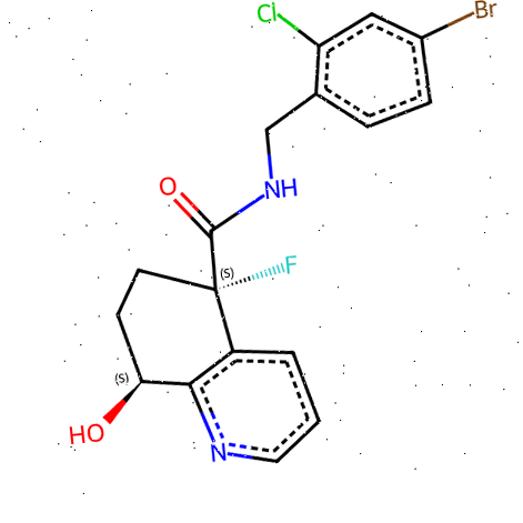 O=C(NCc1ccc(Br)cc1Cl)[C@]1(F)CC[C@H](O)c2ncccc21